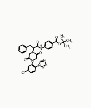 CC(C)(C)OC(=O)c1ccc(NC(=O)C(Cc2ccccc2)N2CC(=O)N(c3cc(Cl)ccc3-n3cnnn3)CC2=O)cc1